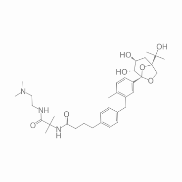 Cc1ccc([C@@]23OC[C@@](C(C)(C)O)(C[C@H](O)[C@H]2O)O3)cc1Cc1ccc(CCCC(=O)NC(C)(C)C(=O)NCCN(C)C)cc1